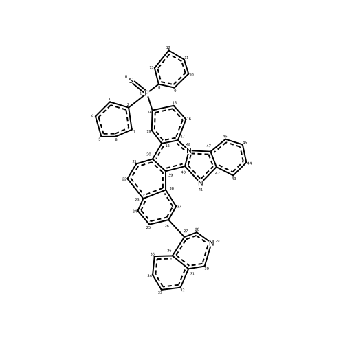 S=P(c1ccccc1)(c1ccccc1)c1ccc2c(c1)c1ccc3ccc(-c4cncc5ccccc45)cc3c1c1nc3ccccc3n21